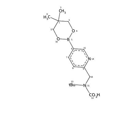 CC1(C)COB(c2ccc(CN(C(=O)O)C(C)(C)C)nc2)OC1